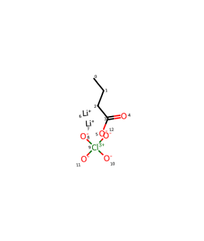 CCCC(=O)[O-].[Li+].[Li+].[O-][Cl+3]([O-])([O-])[O-]